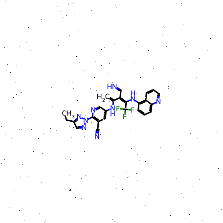 C=C(Nc1cnc(-n2ncc(CC)n2)c(C#N)c1)/C(C=N)=C(/Nc1cccc2ncccc12)C(F)(F)F